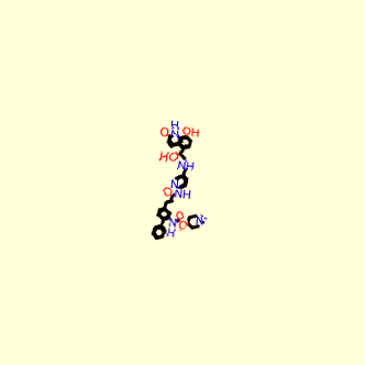 C[N+]1(C)CCC(OC(=O)Nc2cc(CCC(=O)Nc3ccc(CNC[C@H](O)c4ccc(O)c5[nH]c(=O)ccc45)cn3)ccc2-c2ccccc2)CC1